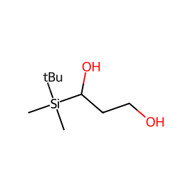 CC(C)(C)[Si](C)(C)C(O)CCO